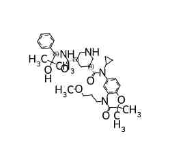 COCCCN1C(=O)C(C)(C)Oc2ccc(N(C(=O)[C@H]3CNC[C@@H](C(=O)N[C@@H](c4ccccc4)C(C)(C)O)C3)C3CC3)cc21